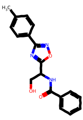 Cc1ccc(-c2noc(C(CO)NC(=O)c3ccccc3)n2)cc1